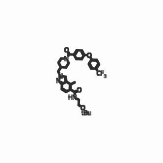 Cc1c(C(=O)NCCOC(C)(C)C)ccc2nn(CC3CCN(C(=O)c4ccc(Oc5ccc(C(F)(F)F)cc5)cc4)CC3)cc12